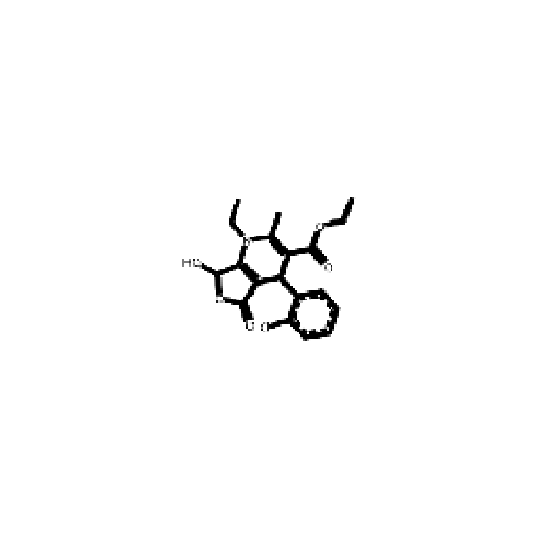 CCOC(=O)C1=C(C)N(CC)C2=C(C(=O)OC2O)C1c1ccccc1Cl